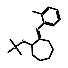 Cc1ccccc1/N=C1\CCCCCC1S[Si](C)(C)C